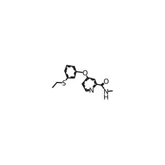 CCSc1cccc(Oc2ccnc(C(=O)NC)c2)c1